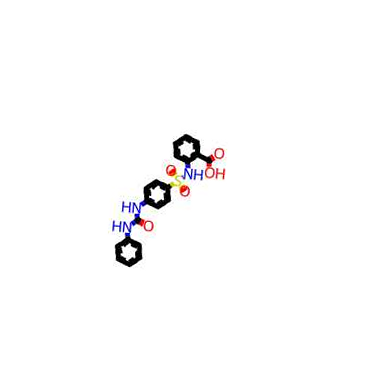 O=C(Nc1ccccc1)Nc1ccc(S(=O)(=O)Nc2ccccc2C(=O)O)cc1